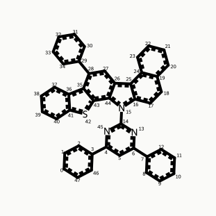 c1ccc(-c2cc(-c3ccccc3)nc(-n3c4ccc5ccccc5c4c4cc(-c5ccccc5)c5c6ccccc6sc5c43)n2)cc1